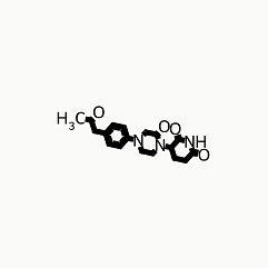 CC(=O)Cc1ccc(N2CCN(C3CCC(=O)NC3=O)C(=O)C2)cc1